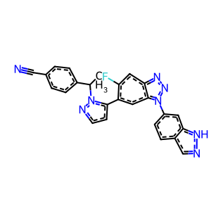 CC(c1ccc(C#N)cc1)n1nccc1-c1cc2c(cc1F)nnn2-c1ccc2cn[nH]c2c1